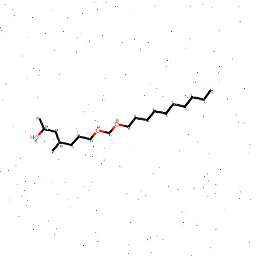 CCCCCCCCCCOCOCCCC(C)CC(C)O